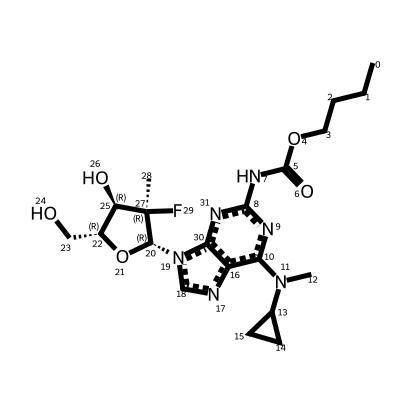 CCCCOC(=O)Nc1nc(N(C)C2CC2)c2ncn([C@@H]3O[C@H](CO)[C@@H](O)[C@@]3(C)F)c2n1